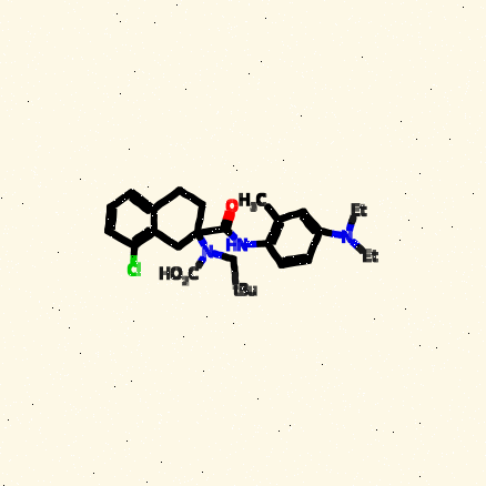 CCN(CC)c1ccc(NC(=O)C2(N(CC(C)(C)C)C(=O)O)CCc3cccc(Cl)c3C2)c(C)c1